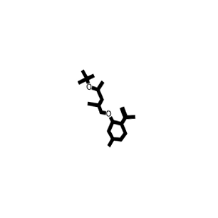 C=C(C)C1CCC(C)CC1OCC(C)CC(C)OC(C)(C)C